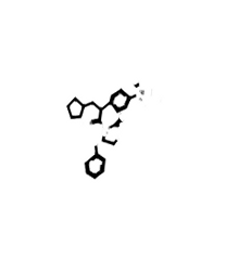 CS(=O)(=O)c1ccc(C(CC2CCCC2)C(=O)N2C(=O)OC[C@@H]2Cc2ccccc2)cc1